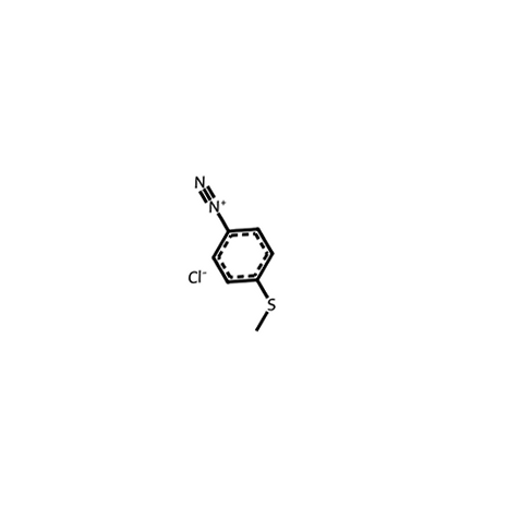 CSc1ccc([N+]#N)cc1.[Cl-]